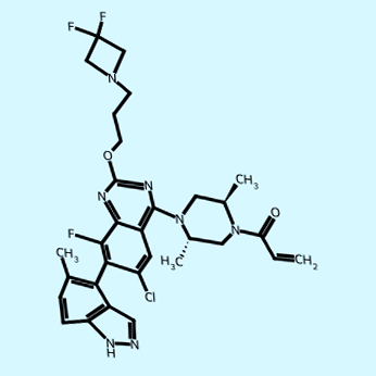 C=CC(=O)N1C[C@H](C)N(c2nc(OCCCN3CC(F)(F)C3)nc3c(F)c(-c4c(C)ccc5[nH]ncc45)c(Cl)cc23)C[C@H]1C